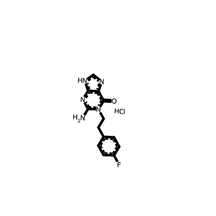 Cl.Nc1nc2[nH]cnc2c(=O)n1CCc1ccc(F)cc1